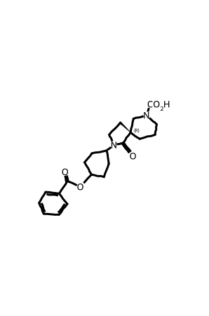 O=C(OC1CCC(N2CC[C@@]3(CCCN(C(=O)O)C3)C2=O)CC1)c1ccccc1